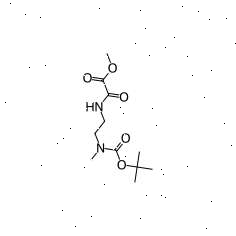 COC(=O)C(=O)NCCN(C)C(=O)OC(C)(C)C